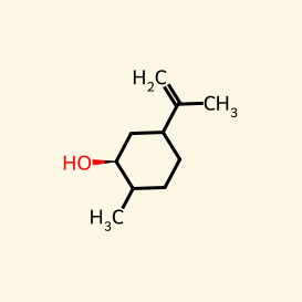 C=C(C)C1CCC(C)[C@@H](O)C1